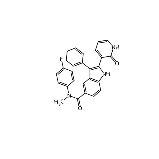 CN(C(=O)c1ccc2[nH]c(-c3ccc[nH]c3=O)c(C3=CCCC=C3)c2c1)c1ccc(F)cc1